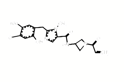 C=CC(=O)N1CC(NC(=O)c2cnc(Cc3cc(C(C)(C)C)c(Cl)cc3O)n2C)C1